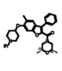 Cc1cc2c(-c3ccccc3)c(C(=O)N3C[C@@H](C)O[C@@H](C)C3)oc2cc1OC1CCN(C(C)C)CC1